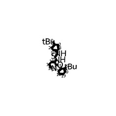 CC(C)(C)c1ccc(NC(=S)Nc2cccnc2Oc2ccccc2C(C)(C)C)cc1